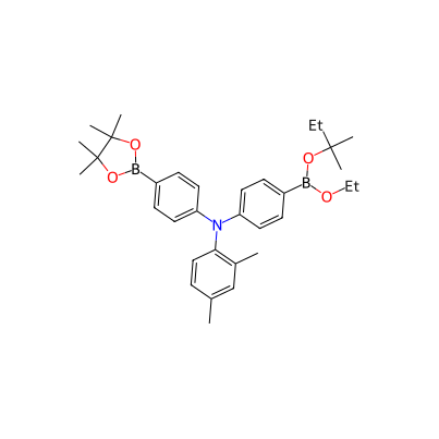 CCOB(OC(C)(C)CC)c1ccc(N(c2ccc(B3OC(C)(C)C(C)(C)O3)cc2)c2ccc(C)cc2C)cc1